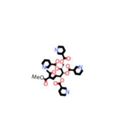 COC(=O)c1cc([C@@H](OC(=O)c2cccnc2)[C@H](OC(=O)c2cccnc2)[C@@H](COC(=O)c2cccnc2)OC(=O)c2cccnc2)oc1C